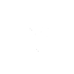 C=C(/C=C\C=N)CN